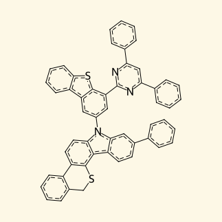 c1ccc(-c2ccc3c4c5c(ccc4n(-c4cc(-c6nc(-c7ccccc7)cc(-c7ccccc7)n6)c6sc7ccccc7c6c4)c3c2)-c2ccccc2CS5)cc1